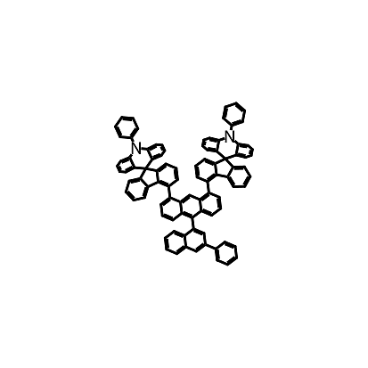 c1ccc(-c2cc(-c3c4cccc(-c5cccc6c5-c5ccccc5C65c6ccccc6N(c6ccccc6)c6ccccc65)c4cc4c(-c5cccc6c5-c5ccccc5C65c6ccccc6N(c6ccccc6)c6ccccc65)cccc34)c3ccccc3c2)cc1